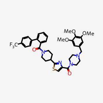 COc1cc(CN2CCN(C(=O)c3csc(C4CCN(C(=O)c5ccccc5-c5ccc(C(F)(F)F)cc5)CC4)n3)CC2)cc(OC)c1OC